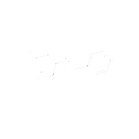 CCC=C(NCc1ccccc1)C(=O)O